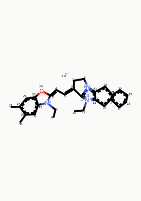 CCN1C(=CC=C2CCn3c2[n+](CC)c2cc4ccccc4cc23)Oc2cc(C)c(C)cc21.[I-]